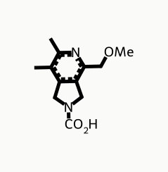 COCc1nc(C)c(C)c2c1CN(C(=O)O)C2